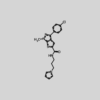 Cn1nc(-c2ccc(Cl)cc2)c2cc(C(=O)NCCCn3cccc3)sc21